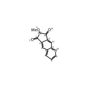 CON1C(=O)c2cc3cccnc3cc2C1=O